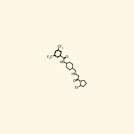 CCC1CCCN1C(=O)CNCC1CCC(NC(=O)c2cc(C(F)(F)F)cc(C(F)(F)F)c2)CC1